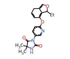 CCC1OC=C2CC=CC(Oc3ccc(N4C(=O)NC(C)(C)C4=O)cn3)=C21